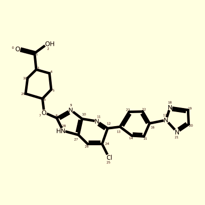 O=C(O)C1CCC(Oc2nc3nc(-c4ccc(-n5nccn5)cc4)c(Cl)cc3[nH]2)CC1